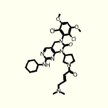 COc1cc(OC)c(Cl)c(N2Cc3cnc(NC4CCCCC4)nc3N(C3CCN(C(=O)C=CCN(C)C)C3)C2=O)c1Cl